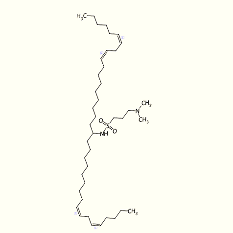 CCCC/C=C\C/C=C\CCCCCCCCC(CCCCCCCC/C=C\C/C=C\CCCCC)NS(=O)(=O)CCCN(C)C